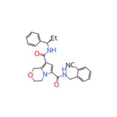 CC[C@@H](NC(=O)c1cc(C(=O)NCc2ccccc2C#N)n2c1COCC2)c1ccccc1